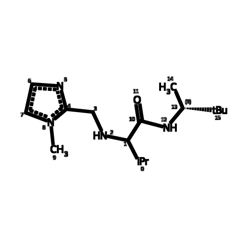 CC(C)C(NCc1nccn1C)C(=O)N[C@H](C)C(C)(C)C